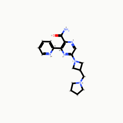 NC(=O)c1ncc(N2CC(CN3CCCC3)C2)nc1-c1ccccn1